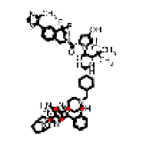 Cc1ncsc1-c1ccc(CNC(=O)[C@@H]2C[C@@H](O)CN2C(=O)[C@@H](NC(=O)[C@H]2CC[C@H](CN3CCC(c4cnc(N5C6CCC5CN(c5cc(-c7ccccc7O)nnc5N)C6)nc4)CC3)CC2)C(C)(C)C)c(C(F)(F)F)c1